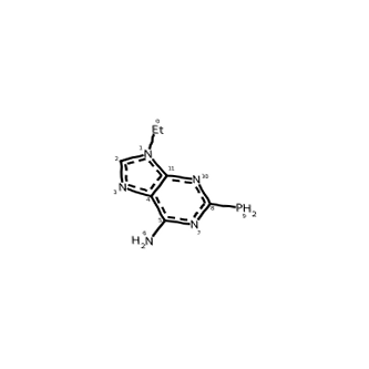 CCn1cnc2c(N)nc(P)nc21